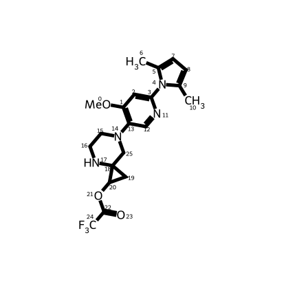 COc1cc(-n2c(C)ccc2C)ncc1N1CCNC2(CC2OC(=O)C(F)(F)F)C1